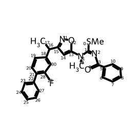 CSC(=NC(=O)c1ccccc1)N(C)c1cc(C(C)c2ccc(-c3ccccc3)c(F)c2)no1